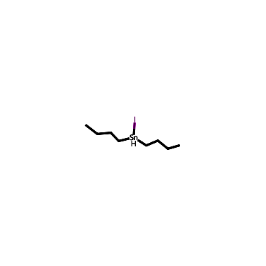 CCC[CH2][SnH]([I])[CH2]CCC